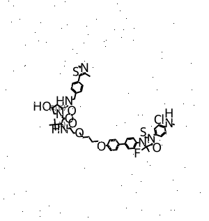 CNc1ccc(N2C(=O)C(C)(C)N(c3ccc(-c4ccc(OCCCCOCC(=O)N[C@H](C(=O)N5C[C@H](O)C[C@H]5C(=O)NCc5ccc(-c6scnc6C)cc5)C(C)(C)C)cc4)cc3F)C2=S)cc1Cl